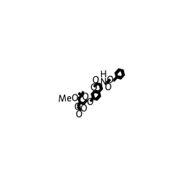 COC1C2OC(=O)OC2[C@H](Oc2ccc3cc(NC(=O)OCc4ccccc4)c(=O)oc3c2)OC1(C)C